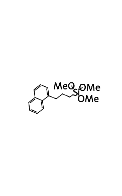 CO[Si](CCCc1cccc2ccccc12)(OC)OC